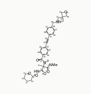 CNC(=O)C(C)(C(=O)NOC1CCCCO1)N(C)C(=O)c1ccc(C#Cc2ccc(CNCC3(C)COC3)cc2)cc1